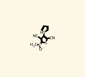 C[S+]([O-])c1sc(C#N)c([SH]2C=CC=C2)c1C#N